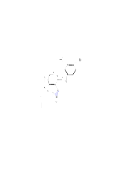 CO/N=C/c1c(N)ncnc1Nc1ccc(OC)c(OC)c1